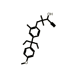 C#CC(O)C(C)(C)Cc1ccc(C(CC)(CC)c2ccc(OC)cc2)cc1C